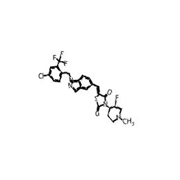 CN1CC[C@@H](N2C(=O)SC(=Cc3ccc4c(cnn4Cc4ccc(Cl)cc4C(F)(F)F)c3)C2=O)[C@@H](F)C1